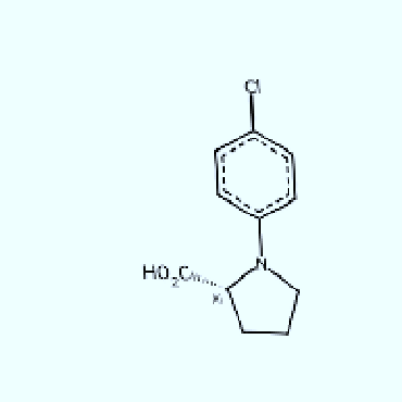 O=C(O)[C@H]1CCCN1c1ccc(Cl)cc1